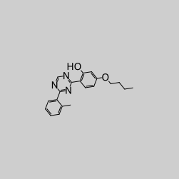 CCCCOc1ccc(-c2ncnc(-c3ccccc3C)n2)c(O)c1